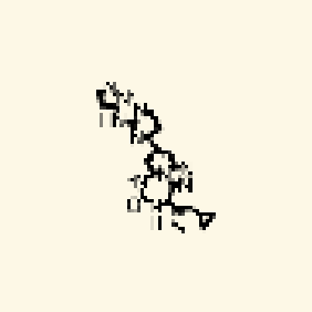 CC[C@@H](CC1CC1)C1NC(=O)N(C)c2cc(-c3ccnc(Nc4ccnn4C)n3)cc3nnc1n23